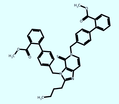 CCCCc1nc2ccn(Cc3ccc(-c4ccccc4C(=O)OC)cc3)c(=S)c2n1Cc1ccc(-c2ccccc2C(=O)OC)cc1